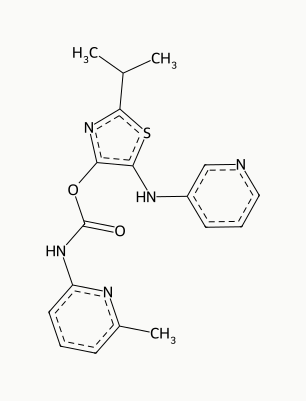 Cc1cccc(NC(=O)Oc2nc(C(C)C)sc2Nc2cccnc2)n1